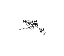 CCCCCCCCOc1ccc2[nH]cc(CCN)c2c1.O=C(O)C(=O)O